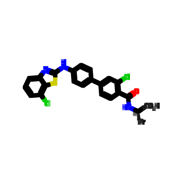 CC(C)[C@H](NC(=O)c1ccc(-c2ccc(Nc3nc4cccc(Cl)c4s3)cc2)cc1Cl)C(=O)O